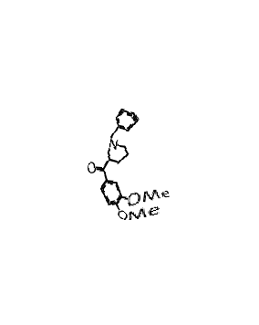 COc1ccc(C(=O)C2CCCN(Cc3ccccc3)C2)cc1OC